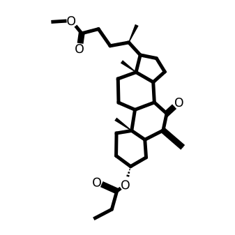 C=C1C(=O)C2C(CC[C@@]3(C)C2CCC3[C@H](C)CCC(=O)OC)[C@@]2(C)CC[C@@H](OC(=O)CC)CC12